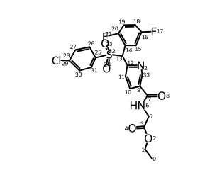 CCOC(=O)CNC(=O)c1ccc(C(c2cc(F)ccc2F)S(=O)(=O)c2ccc(Cl)cc2)nc1